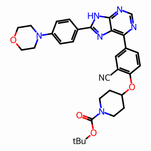 CC(C)(C)OC(=O)N1CCC(Oc2ccc(-c3ncnc4[nH]c(-c5ccc(N6CCOCC6)cc5)nc34)cc2C#N)CC1